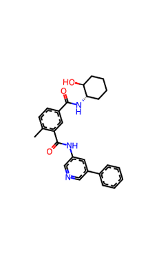 Cc1ccc(C(=O)N[C@H]2CCCC[C@@H]2O)cc1C(=O)Nc1cncc(-c2ccccc2)c1